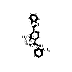 Cc1ccccc1N/C(=N/C#N)N1CCN(c2nc3ccccc3o2)CC1(C)C